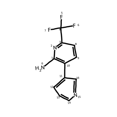 Nc1nc(C(F)(F)F)ccc1-c1cccnc1